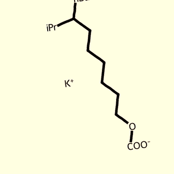 CCCCC(CCCCCCOC(=O)[O-])C(C)C.[K+]